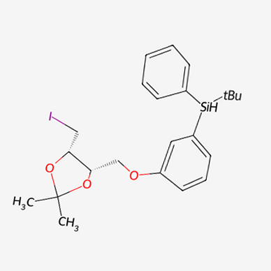 CC1(C)O[C@@H](COc2cccc([SiH](c3ccccc3)C(C)(C)C)c2)[C@@H](CI)O1